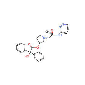 C[N@@+]1(CC(=O)Nc2cccnn2)CCC(OC(=O)C(O)(c2ccccc2)c2ccccc2)C1